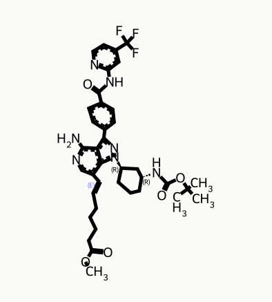 COC(=O)CCCC/C=C/c1cnc(N)c2c(-c3ccc(C(=O)Nc4cc(C(F)(F)F)ccn4)cc3)nn([C@@H]3CCC[C@@H](NC(=O)OC(C)(C)C)C3)c12